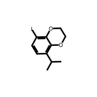 CC(C)c1ccc(I)c2c1OCCO2